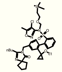 CCCCC1=NC2(CCCC2)C(=O)N1Cc1ccc(-c2ccccc2S(=O)(=O)N(COCC[Si](C)(C)C)c2noc(C)c2Cl)c(C2(OCC)CC2)c1